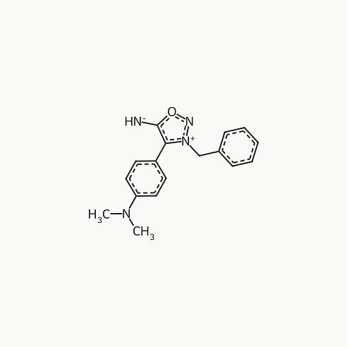 CN(C)c1ccc(-c2c([NH-])on[n+]2Cc2ccccc2)cc1